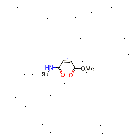 CCC(C)NC(=O)/C=C\C(=O)OC